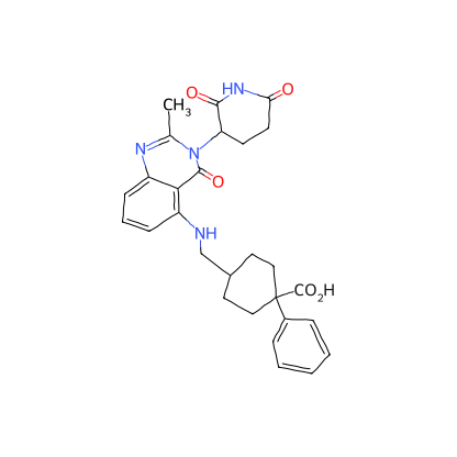 Cc1nc2cccc(NCC3CCC(C(=O)O)(c4ccccc4)CC3)c2c(=O)n1C1CCC(=O)NC1=O